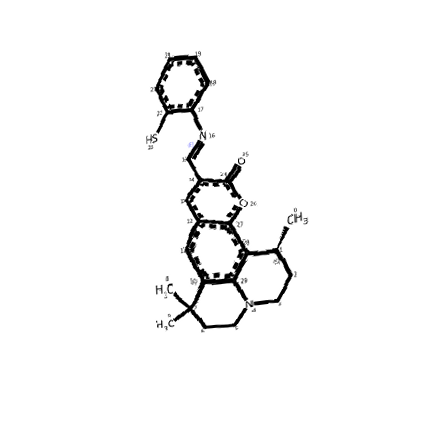 C[C@H]1CCN2CCC(C)(C)c3cc4cc(/C=N/c5ccccc5S)c(=O)oc4c1c32